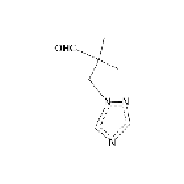 CC(C)([C]=O)Cn1cncn1